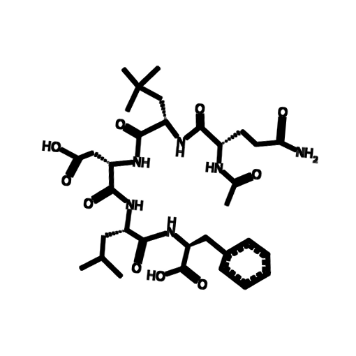 CC(=O)N[C@@H](CCC(N)=O)C(=O)N[C@@H](CC(C)(C)C)C(=O)N[C@@H](CC(=O)O)C(=O)N[C@@H](CC(C)C)C(=O)N[C@@H](Cc1ccccc1)C(=O)O